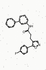 O=C(CCc1cnoc1-c1ccc(F)cc1)Nc1cccc(-c2ccccc2)c1